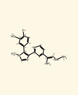 Cn1cnc(-c2cc(/C(N)=N/NN)ccn2)c1-c1ccc(F)c(O)c1